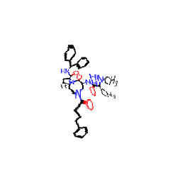 CN[C@@H](C)C(=O)N[C@H]1CN(C(=O)CCCc2ccccc2)CC[C@H]2CC[C@@H](C(=O)NC(c3ccccc3)c3ccccc3)N2C1=O